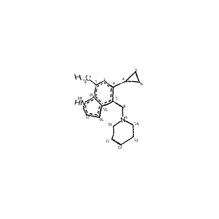 Cc1cc(C2CC2)c(CN2CCCCC2)c2cc[nH]c12